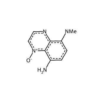 CNc1ccc(N)c2c1ncc[n+]2[O-]